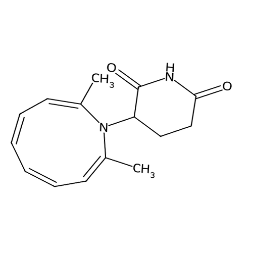 Cc1ccccccc(C)n1C1CCC(=O)NC1=O